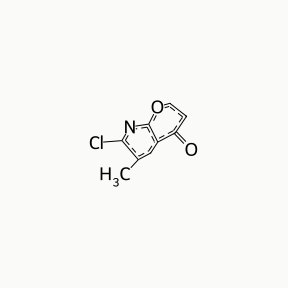 Cc1cc2c(=O)ccoc2nc1Cl